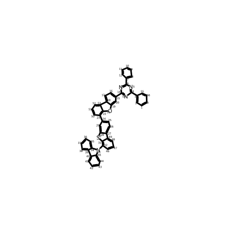 c1ccc(-c2nc(-c3ccccc3)nc(-c3ccc4c(c3)oc3c(-c5ccc6c(c5)sc5c(-n7c8ccccc8c8ccccc87)cccc56)cccc34)n2)cc1